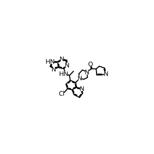 CC(Nc1ncnc2[nH]cnc12)c1cc(Cl)c2cccnc2c1N1CCN(C(=O)C2C=CN=CC2)CC1